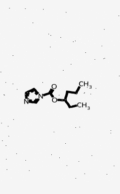 CCCC(CC)OC(=O)n1ccnc1